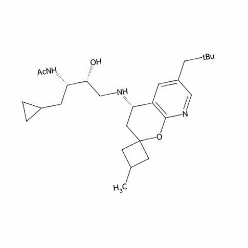 CC(=O)N[C@@H](CC1CC1)[C@H](O)CN[C@H]1CC2(CC(C)C2)Oc2ncc(CC(C)(C)C)cc21